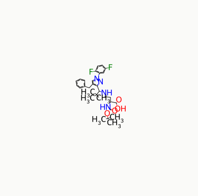 CC(C)(C)OC(=O)NC(CCNC(c1nn(-c2cc(F)ccc2F)cc1Cc1ccccc1)C(C)(C)C)C(=O)O